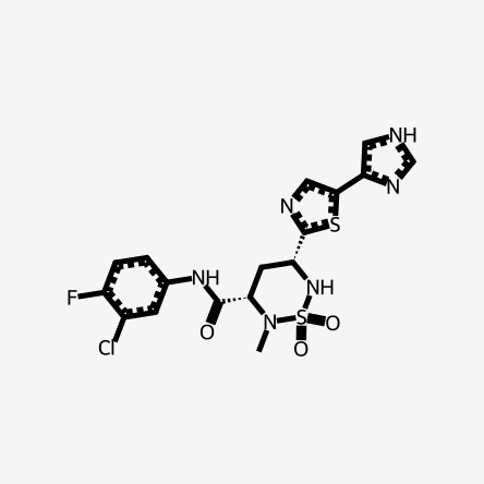 CN1[C@H](C(=O)Nc2ccc(F)c(Cl)c2)C[C@H](c2ncc(-c3c[nH]cn3)s2)NS1(=O)=O